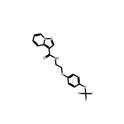 O=C(NCCOc1ccc(OC(F)(F)F)cc1)c1cnn2ccccc12